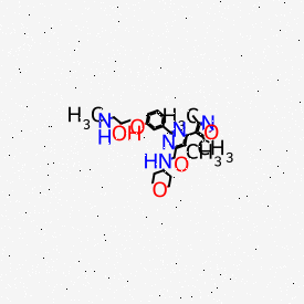 CNCC(O)COc1cccc(-c2nc(C(=O)NC3CCOCC3)c(C)c(-c3c(C)noc3C)n2)c1